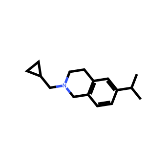 CC(C)c1ccc2c(c1)CCN(CC1CC1)C2